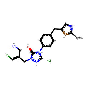 CC(=O)Nc1ncc(Cc2ccc(-n3cnn(C/C(=C/F)CN)c3=O)cc2)s1.Cl